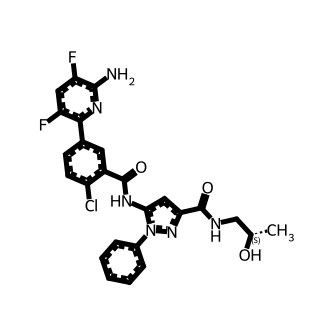 C[C@H](O)CNC(=O)c1cc(NC(=O)c2cc(-c3nc(N)c(F)cc3F)ccc2Cl)n(-c2ccccc2)n1